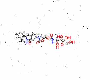 O=C(NC[C@H](O)[C@@H](O)C(=O)[C@H](O)CO)OC[C@@H]1CN(c2ccc3cc(-c4ccccc4C(F)(F)F)[nH]c(=O)c3c2)C(=O)O1